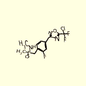 CNP(C)(=O)Cc1ccc(-c2noc(C(F)(F)Cl)n2)cc1F